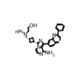 C=C1C=CC(c2nc([C@H]3C[C@@H](CN(CCC)CCO)C3)n3ccnc(N)c23)=C/C1=N/C(=C\C)c1ccccc1